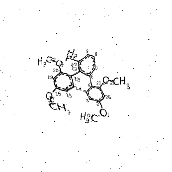 COc1ccc(-c2cccc(P)c2-c2ccc(OC)cc2OC)c(OC)c1